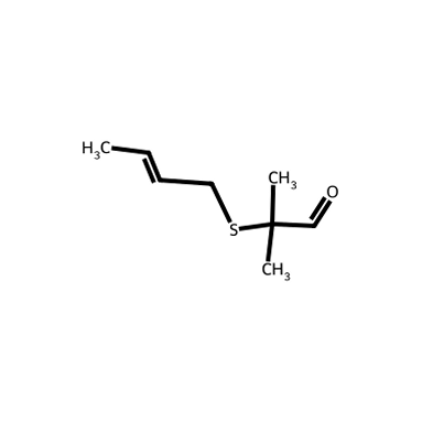 CC=CCSC(C)(C)C=O